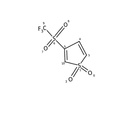 O=S1(=O)C=CC(S(=O)(=O)C(F)(F)F)=C1